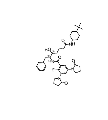 CC(C)(C)C1CCC(NC(=O)CCC[C@H](O)[C@H](Cc2ccccc2)NC(=O)c2cc(N3CCCC3=O)cc(N3CCCC3=O)c2F)CC1